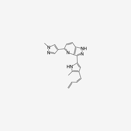 C=C/C=C\c1cc(-c2n[nH]c3ccc(-c4cnn(C)c4)nc23)[nH]c1C